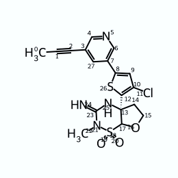 CC#Cc1cncc(-c2cc(Cl)c([C@]34CCOC3S(=O)(=O)N(C)C(=N)N4)s2)c1